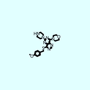 COc1ccc(CSc2ncnc3c(N4CCOCC4)nc(N4CCNCC4)nc23)cc1